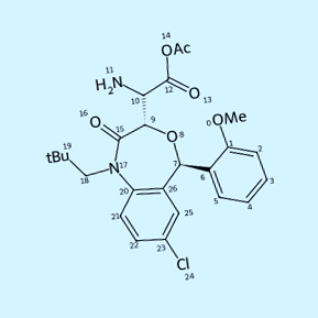 COc1ccccc1[C@@H]1O[C@@H](C(N)C(=O)OC(C)=O)C(=O)N(CC(C)(C)C)c2ccc(Cl)cc21